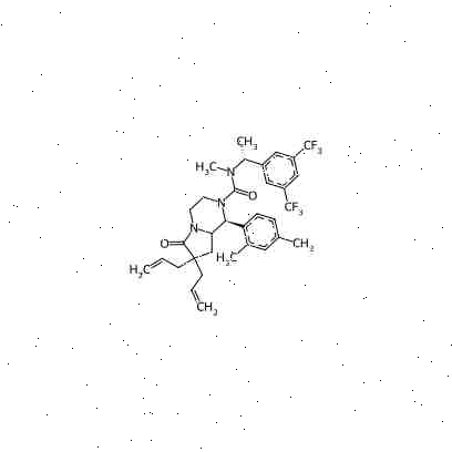 C=CCC1(CC=C)CC2[C@H](c3ccc(C)cc3C)N(C(=O)N(C)[C@H](C)c3cc(C(F)(F)F)cc(C(F)(F)F)c3)CCN2C1=O